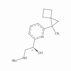 CC(C)(C)NC[C@H](O)c1cccc(C2(C#N)CC23CCC3)n1